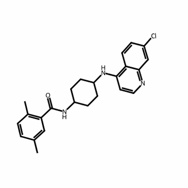 Cc1ccc(C)c(C(=O)NC2CCC(Nc3ccnc4cc(Cl)ccc34)CC2)c1